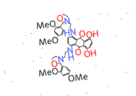 COc1ccc(C2OCCN2CCNc2ccc(NCCN3CCOC3c3ccc(OC)cc3OC)c3c2C(=O)c2c(O)ccc(O)c2C3=O)c(OC)c1